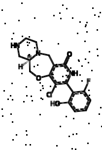 O=c1[nH]c(-c2c(O)cccc2F)c(Cl)c2c1CN1CCNC[C@@H]1CO2